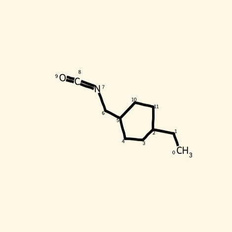 CCC1CCC(CN=C=O)CC1